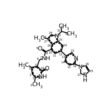 Cc1cc(C)c(CNC(=O)c2cc(-c3ccc(N4C=CNC4)nc3)cc3c2c(C)cn3C(C)C)c(=O)[nH]1